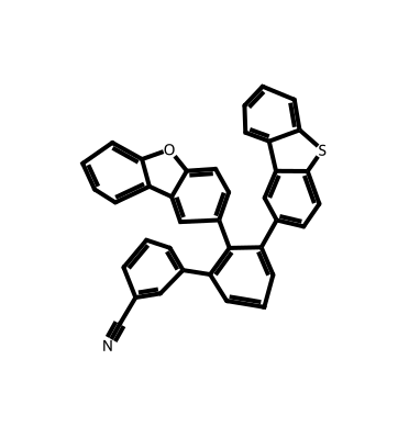 N#Cc1cccc(-c2cccc(-c3ccc4sc5ccccc5c4c3)c2-c2ccc3oc4ccccc4c3c2)c1